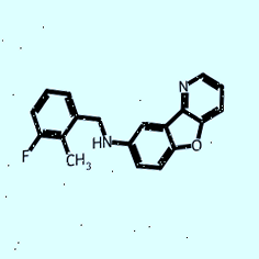 Cc1c(F)cccc1CNc1ccc2oc3cccnc3c2c1